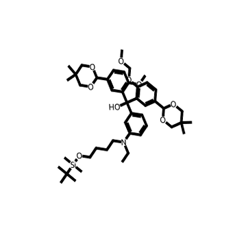 CCN(CCCCO[Si](C)(C)C(C)(C)C)c1cccc(C(O)(c2cc(C3OCC(C)(C)CO3)ccc2OC)c2cc(C3OCC(C)(C)CO3)ccc2OCOC)c1